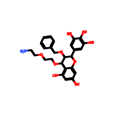 NCCOCCOC1c2c(O)cc(O)cc2OC(c2cc(O)c(O)c(O)c2)C1OCc1ccccc1